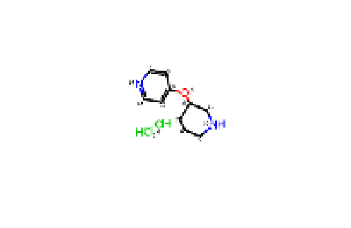 Cl.Cl.c1cc(OC2CCCNC2)ccn1